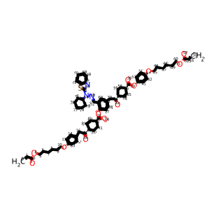 C=CC(=O)OCCCCCCOc1ccc(CC(=O)[C@H]2CC[C@H](C(=O)Oc3ccc(CC(=O)[C@H]4CC[C@H](C(=O)Oc5ccc(OCCCCCCOC(=O)C=C)cc5)CC4)cc3/C=N/N(c3nc4ccccc4s3)C3CCCCC3)CC2)cc1